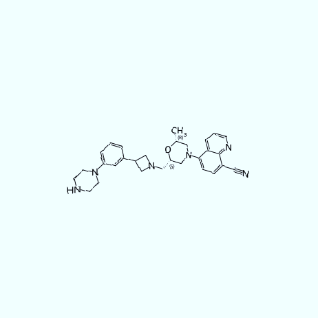 C[C@@H]1CN(c2ccc(C#N)c3ncccc23)C[C@H](CN2CC(c3cccc(N4CCNCC4)c3)C2)O1